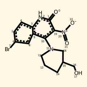 O=c1[nH]c2ccc(Br)cc2c(N2CCCC(CO)C2)c1[N+](=O)[O-]